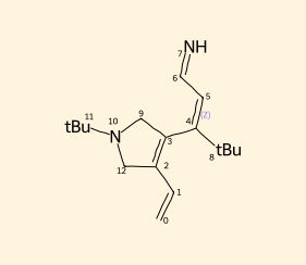 C=CC1=C(/C(=C\C=N)C(C)(C)C)CN(C(C)(C)C)C1